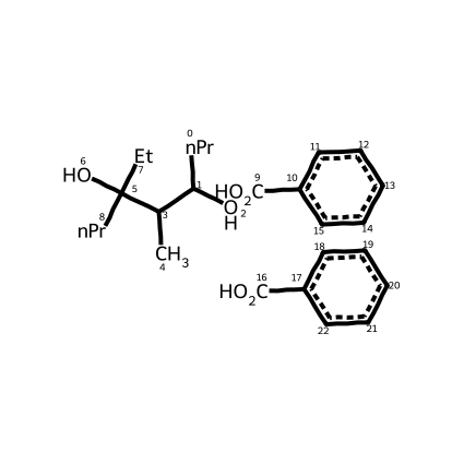 CCCC(O)C(C)C(O)(CC)CCC.O=C(O)c1ccccc1.O=C(O)c1ccccc1